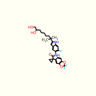 CC(C)(CCCCC[C@@H](O)CO)c1cc2cc(NC(=O)C3(c4ccc5c(c4)OC(F)(F)O5)CC3)c(F)cc2[nH]1